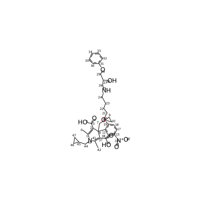 CC1=C(C(=O)O)C(CC2CC2)(c2cc([N+](=O)[O-])ccc2OCCCCNCC(O)COc2ccccc2)C(C(=O)O)=C(C)N1CC1CC1